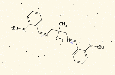 CC(C)(C/N=C\c1ccccc1SC(C)(C)C)C/N=C/c1ccccc1SC(C)(C)C